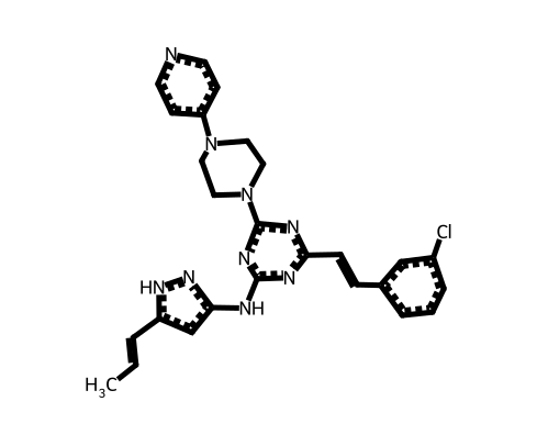 C/C=C/c1cc(Nc2nc(/C=C/c3cccc(Cl)c3)nc(N3CCN(c4ccncc4)CC3)n2)n[nH]1